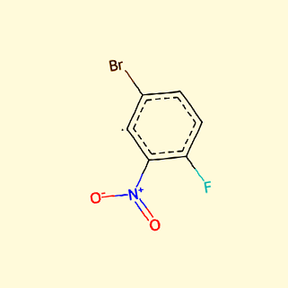 O=[N+]([O-])c1[c]c(Br)ccc1F